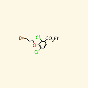 CCOC(=O)c1ccc(Cl)c(OCCCBr)c1Cl